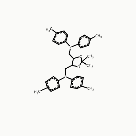 Cc1ccc(P(CC2OC(C)(C)OC2CP(c2ccc(C)cc2)c2ccc(C)cc2)c2ccc(C)cc2)cc1